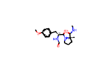 CNC(=O)[C@]1(C)CCCN1C(=O)[C@H](Cc1ccc(OC)cc1)NC=O